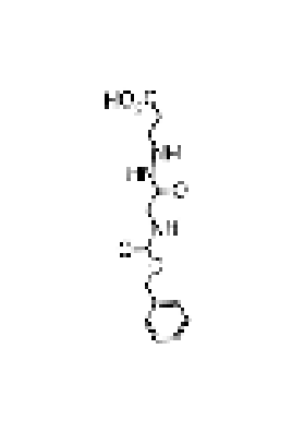 O=C(O)CCNNC(=O)CNC(=O)OCc1ccccc1